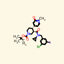 Cn1ccc([C@H]2CCN(C(=O)OC(C)(C)C)C[C@@H]2C(=O)N(Cc2cc(Br)cc(I)c2)C2CC2)cc1=O